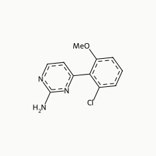 COc1cccc(Cl)c1-c1ccnc(N)n1